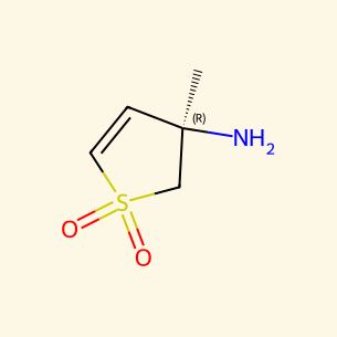 C[C@@]1(N)C=CS(=O)(=O)C1